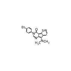 CCc1ccc(-n2cnc3c(N(C)C)c4ccnsc-4c3c2=O)cc1